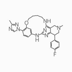 Cc1ncn(-c2ccc3cc2OCCCCNc2nc(nc4c2CN(C)CC4c2ccc(F)cc2)N3)n1